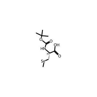 C[Se]C[C@H](NC(=O)OC(C)(C)C)C(=O)O